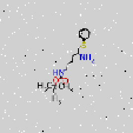 CC(C)(C)OC(=O)NCCCC[C@@H](N)CSc1ccccc1